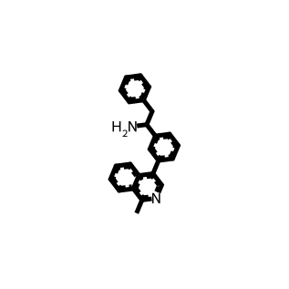 Cc1ncc(-c2cccc(C(N)Cc3ccccc3)c2)c2ccccc12